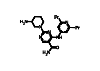 CC(C)c1cc(Nc2nc(N3CCCC(N)C3)ncc2C(N)=O)cc(C(C)C)n1